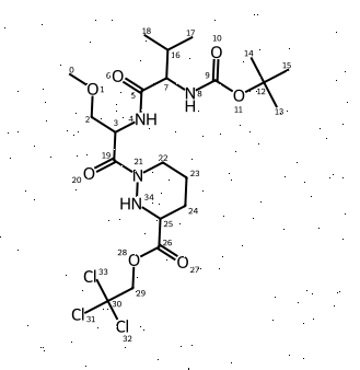 COCC(NC(=O)C(NC(=O)OC(C)(C)C)C(C)C)C(=O)N1CCCC(C(=O)OCC(Cl)(Cl)Cl)N1